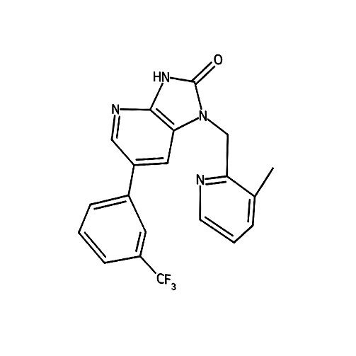 Cc1cccnc1Cn1c(=O)[nH]c2ncc(-c3cccc(C(F)(F)F)c3)cc21